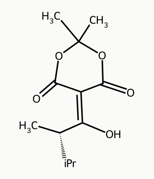 CC(C)[C@H](C)C(O)=C1C(=O)OC(C)(C)OC1=O